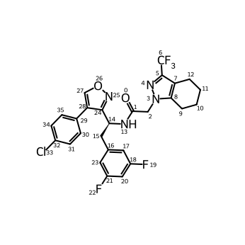 O=C(Cn1nc(C(F)(F)F)c2c1CCCC2)N[C@@H](Cc1cc(F)cc(F)c1)c1nocc1-c1ccc(Cl)cc1